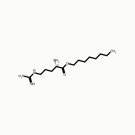 CCCCCCCCOC(=O)[C@@H](N)CCCNC(=N)N